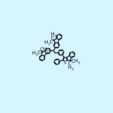 CC1(C)c2ccccc2-c2cc(C(Cc3cccc(-c4c(-c5ccccc5)sc5c4-c4ccccc4C5(C)C)c3)c3ccc4c(c3)C(C)(C)c3ccccc3-4)ccc21